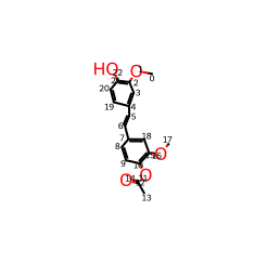 COc1cc(/C=C/c2ccc(OC(C)=O)c(OC)c2)ccc1O